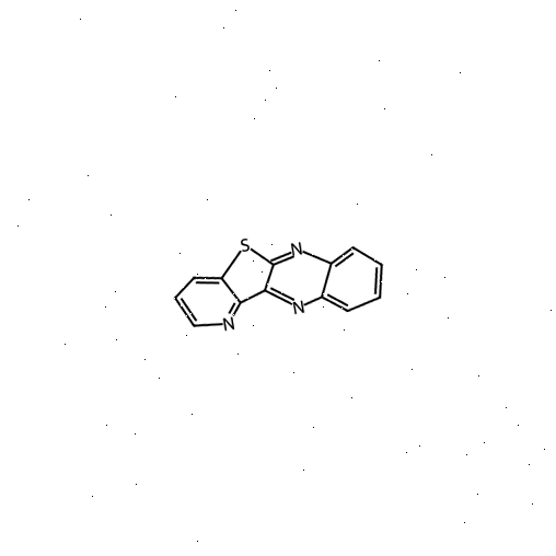 c1ccc2nc3c(nc2c1)sc1cccnc13